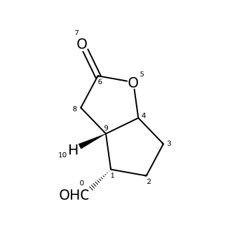 O=C[C@H]1CCC2OC(=O)C[C@H]21